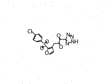 O=C(Cc1ccoc1S(=O)(=O)c1ccc(Cl)cc1)C(=O)c1nn[nH]n1